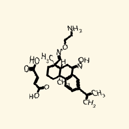 CC(C)c1ccc2c(c1)/C(=N/O)C[C@H]1[C@](C)(/C=N/OCCN)CCC[C@]21C.O=C(O)/C=C/C(=O)O